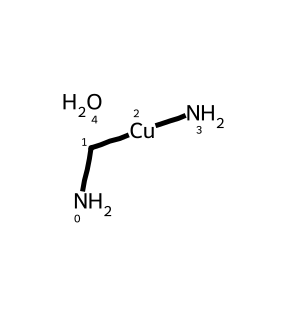 N[CH2][Cu][NH2].O